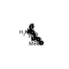 COc1ccccc1-c1ccc(C[C@H](NC(=O)c2ccc3c(N4CCN(C)CC4)nc(N)nc3c2)C(=O)N(C)C)cc1